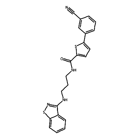 N#Cc1cccc(-c2ccc(C(=O)NCCCNc3nsc4ccccc34)s2)c1